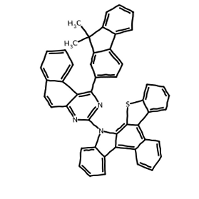 CC1(C)c2ccccc2-c2ccc(-c3nc(-n4c5ccccc5c5c6ccccc6c6c7ccccc7sc6c54)nc4ccc5ccccc5c34)cc21